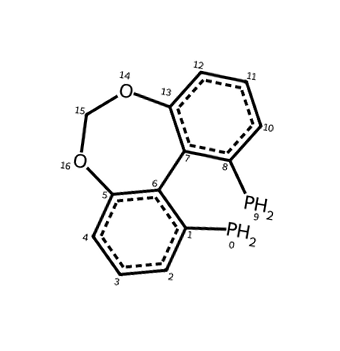 Pc1cccc2c1-c1c(P)cccc1OCO2